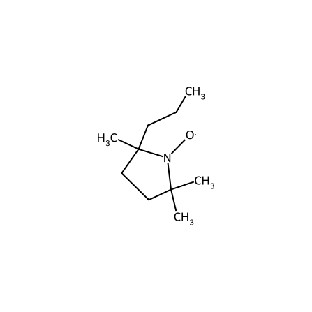 CCCC1(C)CCC(C)(C)N1[O]